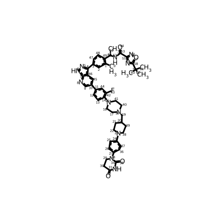 Cc1cc(-c2n[nH]c3ncc(-c4ccc(N5CCN(CC6CCN(c7ccc(N8CCC(=O)NC8=O)cc7)CC6)CC5)c(F)c4)cc23)ccc1[C@@H](C)NC(=O)c1noc(C(C)(C)C)n1